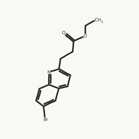 CCOC(=O)CCc1ccc2cc(Br)ccc2n1